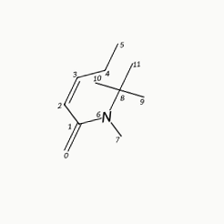 C=C(/C=C\CC)N(C)C(C)(C)C